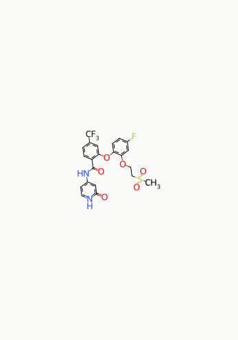 CS(=O)(=O)CCOc1cc(F)ccc1Oc1cc(C(F)(F)F)ccc1C(=O)Nc1cc[nH]c(=O)c1